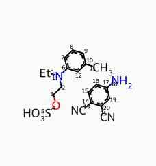 CCN(CCOS(=O)(=O)O)c1cccc(C)c1.N#Cc1ccc(N)cc1C#N